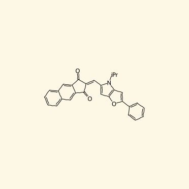 CC(C)n1c(C=C2C(=O)c3cc4ccccc4cc3C2=O)cc2oc(-c3ccccc3)cc21